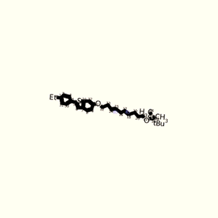 CCc1ccc(-c2cc3ccc(OCC/C=C/C/C=C/CCCO[Si](C)(C)C(C)(C)C)cc3s2)cc1